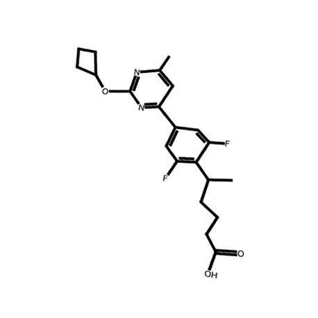 Cc1cc(-c2cc(F)c(C(C)CCCC(=O)O)c(F)c2)nc(OC2CCC2)n1